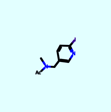 CC(=O)N(C)Cc1ccc(I)nc1